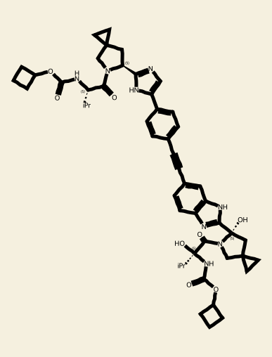 CC(C)[C@H](NC(=O)OC1CCC1)C(=O)N1CC2(CC2)C[C@H]1c1ncc(-c2ccc(C#Cc3ccc4nc([C@@]5(O)CC6(CC6)CN5C(=O)[C@](O)(NC(=O)OC5CCC5)C(C)C)[nH]c4c3)cc2)[nH]1